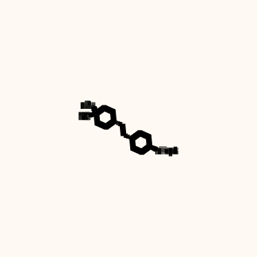 CCCCCCC[C@H]1CC[C@H](CC[C@H]2CC[C@@](C#N)(CCCC)CC2)CC1